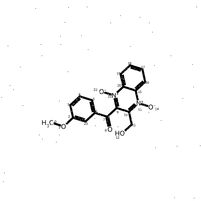 COc1cccc(C(=O)c2c(CO)[n+]([O-])c3ccccc3[n+]2[O-])c1